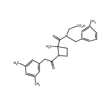 Cc1cc(C)cc(CC(=O)N2CCC2(C)C(=O)N(CC(=O)O)Cc2cccc(C)c2)c1